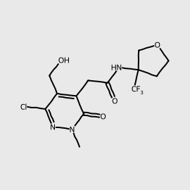 Cn1nc(Cl)c(CO)c(CC(=O)NC2(C(F)(F)F)CCOC2)c1=O